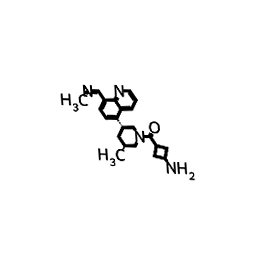 C/N=C\c1ccc([C@H]2C[C@@H](C)CN(C(=O)C3CC(N)C3)C2)c2cccnc12